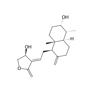 C=C1OC[C@@H](O)/C1=C\C[C@@H]1C(=C)CC[C@@H]2[C@@H](C)[C@@H](O)CC[C@@]12C